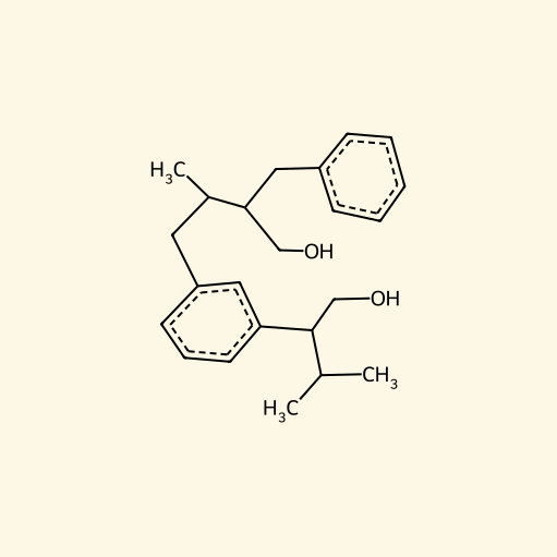 CC(C)C(CO)c1cccc(CC(C)C(CO)Cc2ccccc2)c1